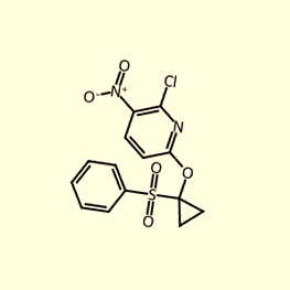 O=[N+]([O-])c1ccc(OC2(S(=O)(=O)c3ccccc3)CC2)nc1Cl